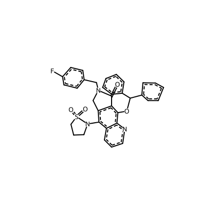 O=C1c2c(c(N3CCCS3(=O)=O)c3cccnc3c2OC(c2ccccc2)c2ccccc2)CN1Cc1ccc(F)cc1